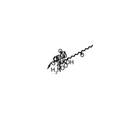 CC#CCOc1ccc(C[C@H](NC(=O)[C@@H](/C=C/CCCCCCC(=O)CCCCCCC)[C@@](O)(CC(=O)N(C)C(N)=O)C(=O)O)C(=O)OC)cc1